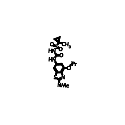 CNc1nc2c(OC(C)C)cc(NC(=O)NS(=O)(=O)C3(C)CC3)cc2s1